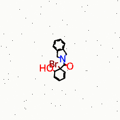 O=C(N1Cc2ccccc2C1)C1(Br)C=CC=CC1O